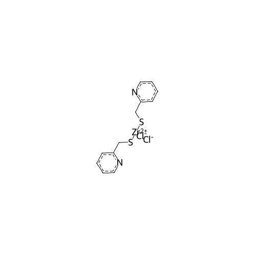 [Cl-].[Cl-].c1ccc(C[S][Zr+2][S]Cc2ccccn2)nc1